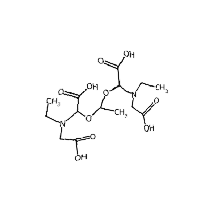 CCN(CC(=O)O)C(OC(C)OC(C(=O)O)N(CC)CC(=O)O)C(=O)O